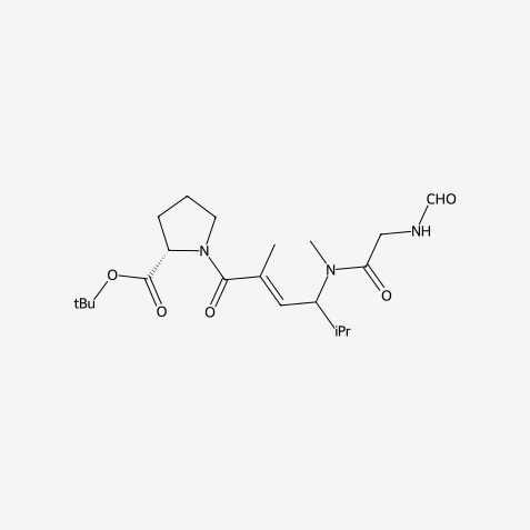 C/C(=C\C(C(C)C)N(C)C(=O)CNC=O)C(=O)N1CCC[C@H]1C(=O)OC(C)(C)C